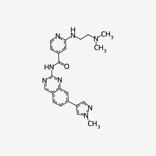 CN(C)CCNc1cc(C(=O)Nc2ncc3ccc(-c4cnn(C)c4)cc3n2)ccn1